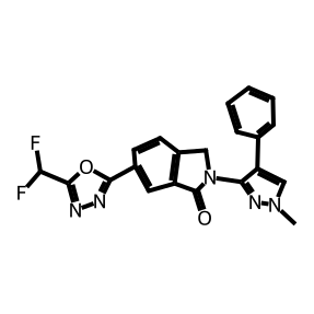 Cn1cc(-c2ccccc2)c(N2Cc3ccc(-c4nnc(C(F)F)o4)cc3C2=O)n1